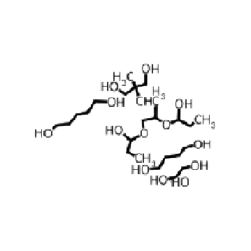 CC(C)(CO)CO.CCC(O)OCC(C)OC(O)CC.OCCCCCO.OCCCCO.OCCO.[OH]